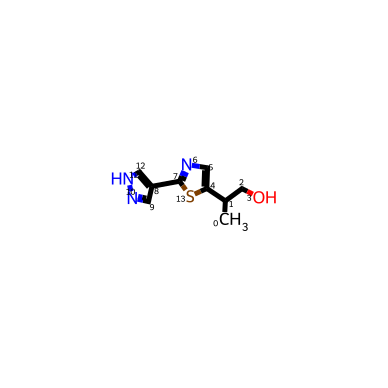 CC(CO)c1cnc(-c2cn[nH]c2)s1